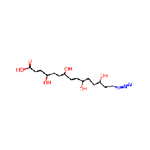 [N-]=[N+]=NCCC(O)CCC(O)CCC(O)CCC(O)CCC(=O)O